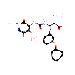 Cc1cn(C)c(=O)c(NC(=O)NC(CC(=O)O)c2cccc(Oc3ccccc3)c2)c1O.[NaH]